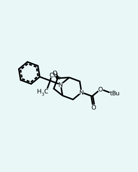 CC(C)(C)OC(=O)N1CC2CC(=O)C(C1)N2C(C)(C)c1ccccc1